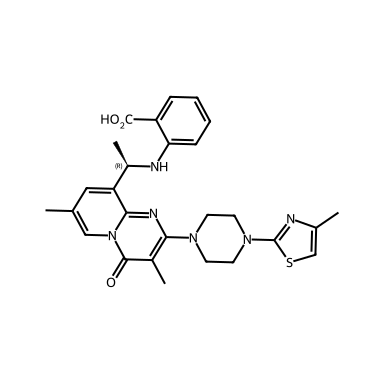 Cc1cc([C@@H](C)Nc2ccccc2C(=O)O)c2nc(N3CCN(c4nc(C)cs4)CC3)c(C)c(=O)n2c1